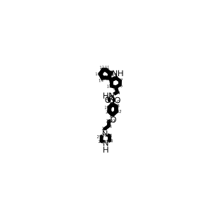 O=S(=O)(NCC1CCc2[nH]c3ccccc3c2C1)c1ccc(OCCCN2CCNCC2)cc1